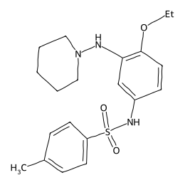 CCOc1ccc(NS(=O)(=O)c2ccc(C)cc2)cc1NN1CCCCC1